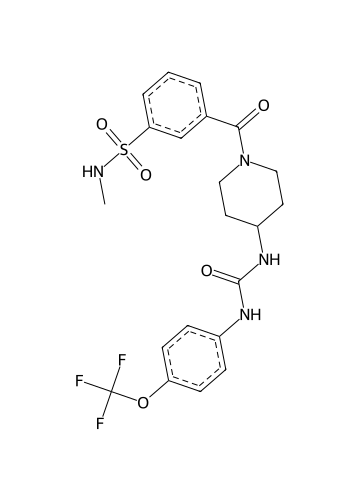 CNS(=O)(=O)c1cccc(C(=O)N2CCC(NC(=O)Nc3ccc(OC(F)(F)F)cc3)CC2)c1